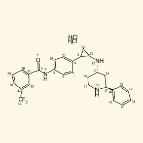 Cl.Cl.O=C(Nc1ccc(C2CC2N[C@H]2CCN[C@H](c3ccccc3)C2)cc1)c1cccc(C(F)(F)F)c1